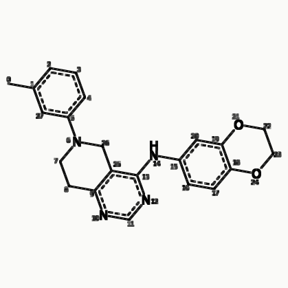 Cc1cccc(N2CCc3ncnc(Nc4ccc5c(c4)OCCO5)c3C2)c1